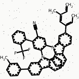 C=C/C(C)=C\C(=C/C)c1ccc2c3ccccc3n(-c3cc(C#N)c(-c4ccccc4C(F)(F)F)cc3-n3c4ccccc4c4ccc(-c5cccc(C)c5)cc43)c2c1